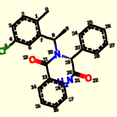 Cc1ccc(Cl)cc1[C@@H](C)N(C(=O)c1ccccc1)[C@@H](C(N)=O)c1ccccc1